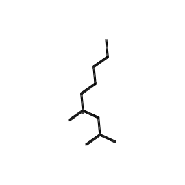 CCCCC[C](C)CC(C)C